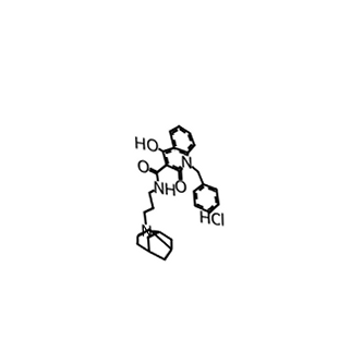 Cl.O=C(NCCCN1C2CC3CC(C2)CC1C3)c1c(O)c2ccccc2n(Cc2ccccc2)c1=O